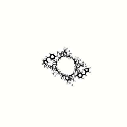 CC(C)C[C@H]1C(=O)O[C@H](Cc2ccc(Cc3ccoc3)cc2)C(=O)N(C)[C@@H](CC(C)C)C(=O)O[C@H](C)C(=O)N(C)[C@@H](CC(C)C)C(=O)O[C@H](Cc2ccc(Cc3ccoc3)cc2)C(=O)N(C)[C@@H](CC(C)C)C(=O)O[C@H](C)C(=O)N1C